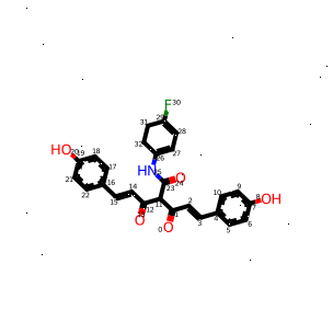 O=C(/C=C/c1ccc(O)cc1)C(C(=O)/C=C/c1ccc(O)cc1)C(=O)NC1=CC=C(F)CC1